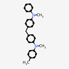 Cc1ccc(N(C)c2ccc(Cc3ccc(N(C)c4ccccc4)cc3)cc2)cc1